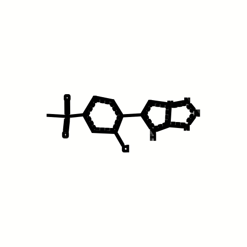 CS(=O)(=O)c1ccc(-c2cn3nnnc3[nH]2)c(Cl)c1